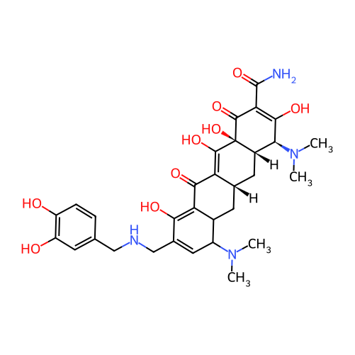 CN(C)C1C=C(CNCc2ccc(O)c(O)c2)C(O)=C2C(=O)C3=C(O)[C@]4(O)C(=O)C(C(N)=O)=C(O)[C@@H](N(C)C)[C@@H]4C[C@@H]3CC21